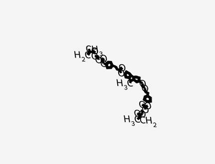 C=C(C)C(=O)OCOC(=O)Oc1ccc(C=COCOc2ccc3c(c2)C(C)c2cc(OC(=O)C=Cc4ccc(OC(=O)OCOC(=O)C(=C)C)cc4)ccc2-3)cc1